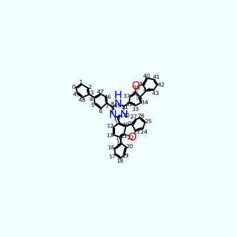 c1ccc(-c2ccc(C3=NC(c4ccc(-c5ccccc5)c5oc6ccccc6c45)=NC(c4ccc5c(c4)oc4ccccc45)N3)cc2)cc1